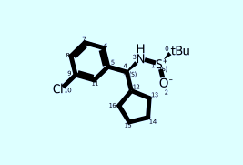 CC(C)(C)[S@@+]([O-])N[C@H](c1cccc(Cl)c1)C1CCCC1